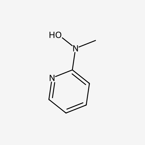 CN(O)c1ccccn1